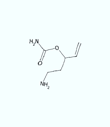 C=CC(CCN)OC(N)=O